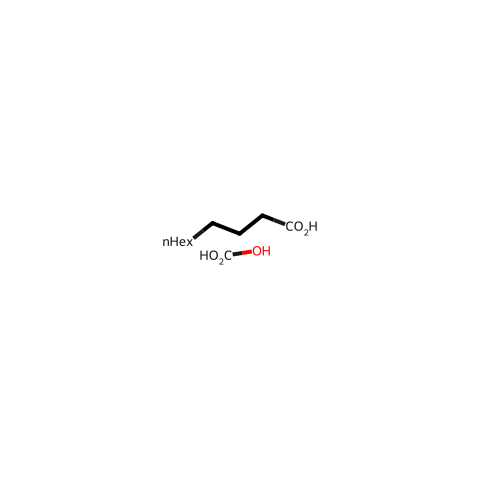 CCCCCCCCCC(=O)O.O=C(O)O